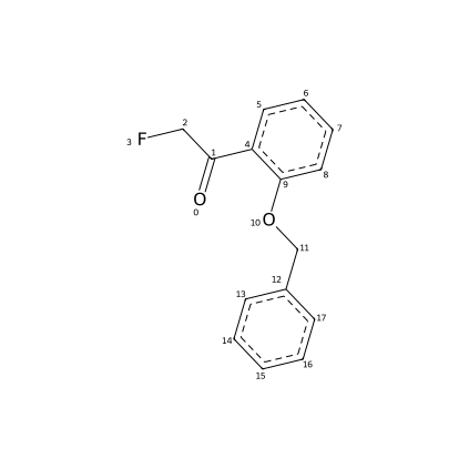 O=C(CF)c1ccccc1OCc1ccccc1